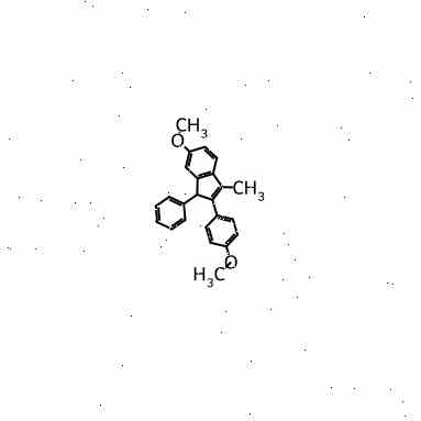 COc1ccc(C2=C(C)c3ccc(OC)cc3C2c2ccccc2)cc1